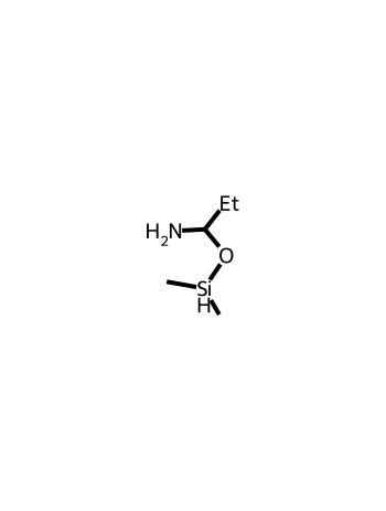 CCC(N)O[SiH](C)C